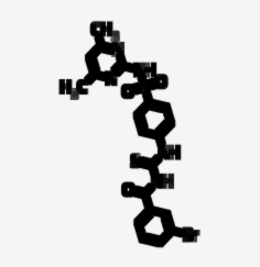 Cc1cc(C)nc(NS(=O)(=O)c2ccc(NC(=S)NC(=O)c3cccc(Br)c3)cc2)n1